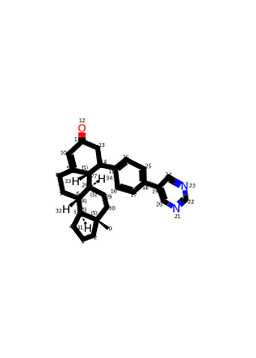 C[C@@]12CCC[C@H]1[C@@H]1CCC3=CC(=O)CC(c4ccc(-c5cncnc5)cc4)[C@@H]3[C@H]1CC2